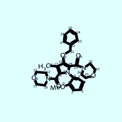 COc1ccccc1-n1c(C(=O)N2CCOCC2)c(C)c(OCc2ccccc2)c1C(=O)N1CCOCC1